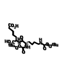 CC(C)(C)OOC(=O)NCCCC[C@H](NC(=O)OOC(C)(C)C)C(=O)NC(CC=CCC(=O)O)C(=O)O